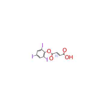 O=C(O)/C=C/C(=O)Oc1c(I)cc(I)cc1I